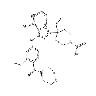 CCc1cc(Nc2nn(C3(CC)CCN(C(=O)O)CC3)c3cc[nH]c(=O)c23)ccc1C(=O)N1CCOCC1